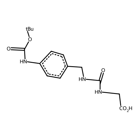 CC(C)(C)OC(=O)Nc1ccc(CNC(=O)NCC(=O)O)cc1